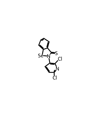 S=c1c2ccccc2[se]n1-c1ccc(Cl)nc1Cl